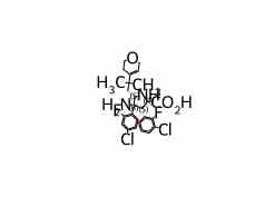 CC(C)(C[C@@H]1N[C@@H](C(=O)O)[C@H](c2cccc(Cl)c2F)[C@@]1(N)c1ccc(Cl)cc1F)C1=CCOCC1